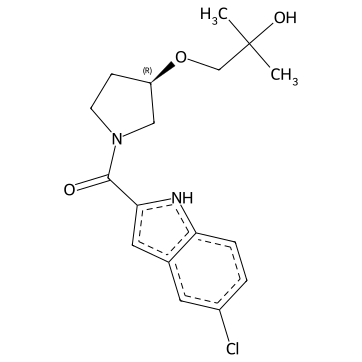 CC(C)(O)CO[C@@H]1CCN(C(=O)c2cc3cc(Cl)ccc3[nH]2)C1